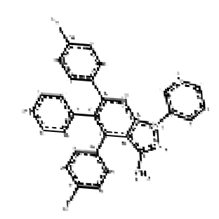 Cc1nn(-c2cccnc2)c2nc(-c3ccc(F)cc3)c(-c3ccncc3)c(-c3ccc(F)cc3)c12